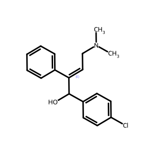 CN(C)C/C=C(\c1ccccc1)C(O)c1ccc(Cl)cc1